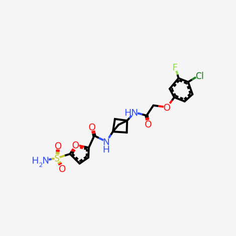 NS(=O)(=O)c1ccc(C(=O)NC23CC(NC(=O)COc4ccc(Cl)c(F)c4)(C2)C3)o1